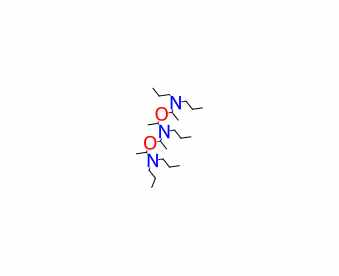 CCCN(CCC)C(C)OC(C)N(CCC)C(C)OC(C)N(CCC)CCC